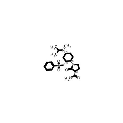 CC(C)N(C)[C@@H]1CC[C@H](N2CC[C@@H](C(N)=O)C2=O)[C@H](CS(=O)(=O)c2ccccc2)C1